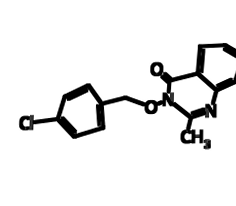 Cc1nc2ccccc2c(=O)n1OCc1ccc(Cl)cc1